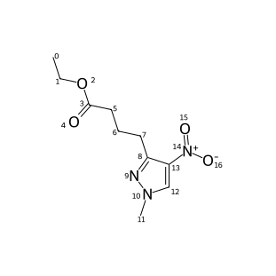 CCOC(=O)CCCc1nn(C)cc1[N+](=O)[O-]